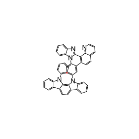 c1ccc(-n2c3ccccc3c3ccc4c5ccccc5n(-c5ccc6c(c5)c5ccc7cccnc7c5c5nc7ccccc7n65)c4c32)cc1